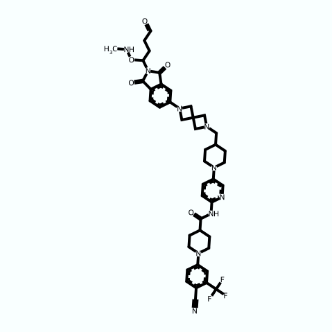 CNOC(CCC=O)N1C(=O)c2ccc(N3CC4(CN(CC5CCN(c6ccc(NC(=O)C7CCN(c8ccc(C#N)c(C(F)(F)F)c8)CC7)nc6)CC5)C4)C3)cc2C1=O